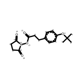 CC(C)(C)Oc1ccc(CCC(=O)ON2C(=O)CCC2=O)cc1